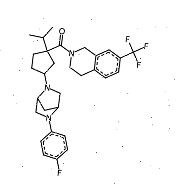 CC(C)C1(C(=O)N2CCc3ccc(C(F)(F)F)cc3C2)CCC(N2CC3CC2CN3c2ccc(F)cc2)C1